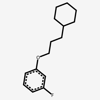 Fc1cccc(OCCCC2CCCCC2)c1